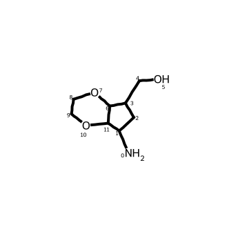 NC1CC(CO)C2OCCOC12